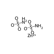 NS(=O)(=O)[O-].NS(=O)(=O)[O-].[Zn+2]